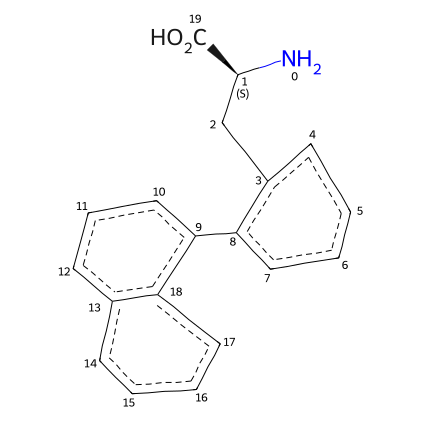 N[C@@H](Cc1ccccc1-c1cccc2ccccc12)C(=O)O